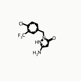 Nc1cc(=O)n(Cc2ccc(Cl)c(C(F)(F)F)c2)[nH]1